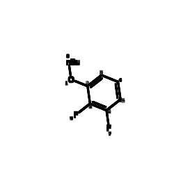 CCCCOc1cc[c]c(F)c1F